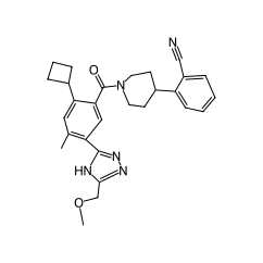 COCc1nnc(-c2cc(C(=O)N3CCC(c4ccccc4C#N)CC3)c(C3CCC3)cc2C)[nH]1